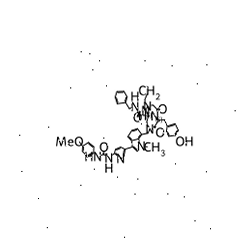 C=CCN1CC(=O)N2[C@@H](Cc3ccc(O)cc3)C(=O)N(Cc3cccc4c(-c5ccc(NC(=O)Nc6ccc(OC)cc6)nc5)cn(C)c34)C[C@@H]2N1C(=O)NCc1ccccc1